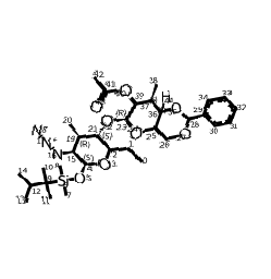 CCC1O[C@@H](O[Si](C)(C)C(C)(C)C(C)C)C(N=[N+]=[N-])[C@@H](C)[C@@H]1O[C@@H]1OC2COC(c3ccccc3)O[C@H]2[C@H](C)C1OC(C)=O